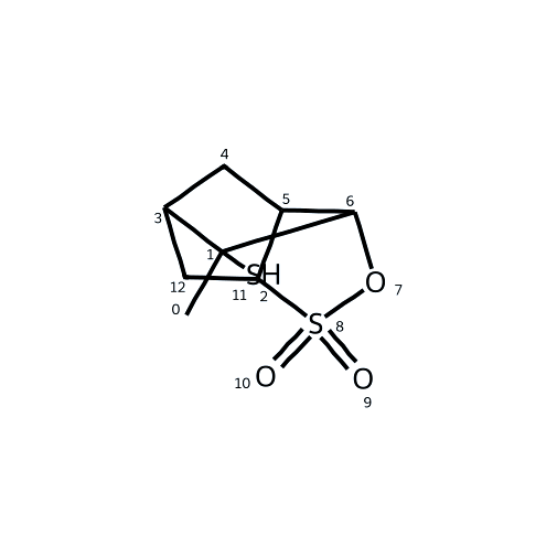 CC1(S)C2CC3C1OS(=O)(=O)C3C2